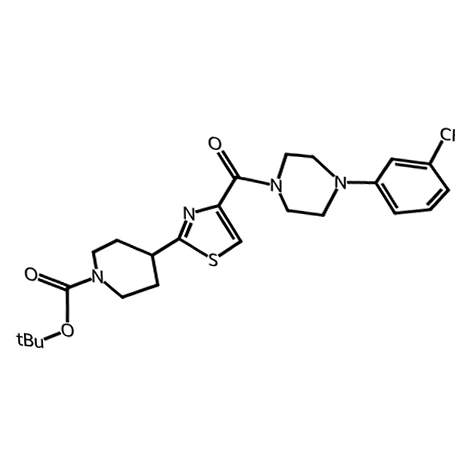 CC(C)(C)OC(=O)N1CCC(c2nc(C(=O)N3CCN(c4cccc(C(F)(F)F)c4)CC3)cs2)CC1